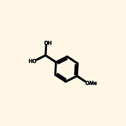 COc1ccc(C(O)O)cc1